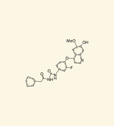 COc1cc2c(Oc3ccc(NC(=O)NC(=O)Cc4ccccc4)cc3F)ccnc2cc1O